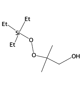 CC[Si](CC)(CC)OOC(C)(C)CO